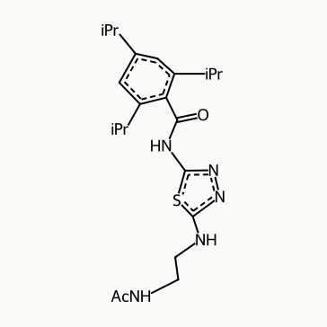 CC(=O)NCCNc1nnc(NC(=O)c2c(C(C)C)cc(C(C)C)cc2C(C)C)s1